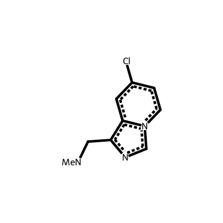 CNCc1ncn2ccc(Cl)cc12